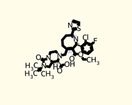 CCOC(=O)/C1=C(\CN2CCN3C(=O)N(C(C)(C)C)C[C@@H]3[C@H]2C(=O)O)CCC/C(c2nccs2)=N\[C@H]1c1cccc(F)c1Cl